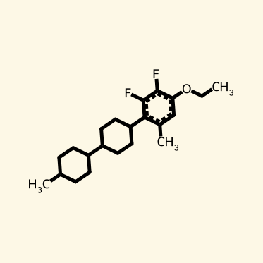 CCOc1cc(C)c(C2CCC(C3CCC(C)CC3)CC2)c(F)c1F